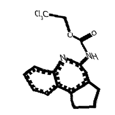 O=C(Nc1nc2ccccc2c2c1CCC2)OCC(Cl)(Cl)Cl